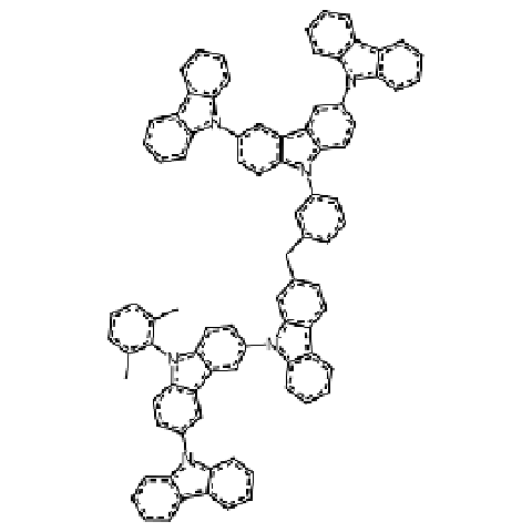 Cc1cccc(C)c1-n1c2ccc(-n3c4ccccc4c4ccccc43)cc2c2cc(-n3c4ccccc4c4ccc(Cc5cccc(-n6c7ccc(-n8c9ccccc9c9ccccc98)cc7c7cc(-n8c9ccccc9c9ccccc98)ccc76)c5)cc43)ccc21